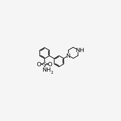 NS(=O)(=O)c1ccccc1-c1cccc(N2CCNCC2)c1